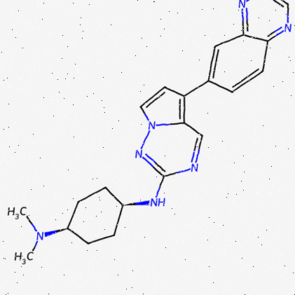 CN(C)[C@H]1CC[C@@H](Nc2ncc3c(-c4ccc5nccnc5c4)ccn3n2)CC1